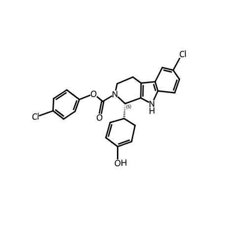 O=C(Oc1ccc(Cl)cc1)N1CCc2c([nH]c3ccc(Cl)cc23)[C@@H]1C1C=CC(O)=CC1